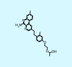 Cc1ccc2c(c1)nc(N)c1ncc(CCc3ccc(OCCOC(C)O)cc3C)cc12